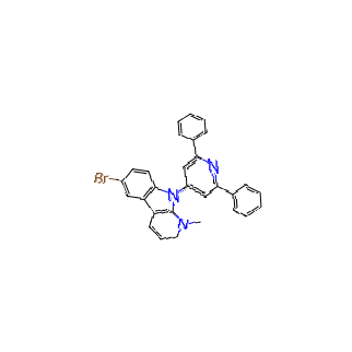 CN1CC=Cc2c1n(-c1cc(-c3ccccc3)nc(-c3ccccc3)c1)c1ccc(Br)cc21